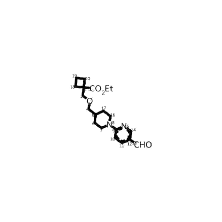 CCOC(=O)C1(COCC2CCN(c3ccc(C=O)cn3)CC2)CCC1